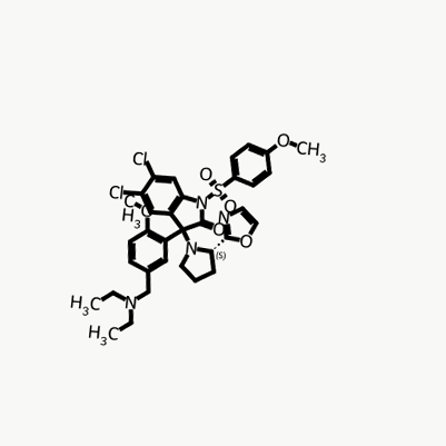 CCN(CC)Cc1ccc(OC)c(C2(N3CCC[C@H]3c3ncco3)C(=O)N(S(=O)(=O)c3ccc(OC)cc3)c3cc(Cl)c(Cl)cc32)c1